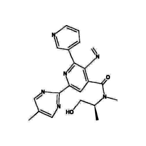 C=Nc1c(C(=O)N(C)[C@@H](C)CO)cc(-c2ncc(C)cn2)nc1-c1cccnc1